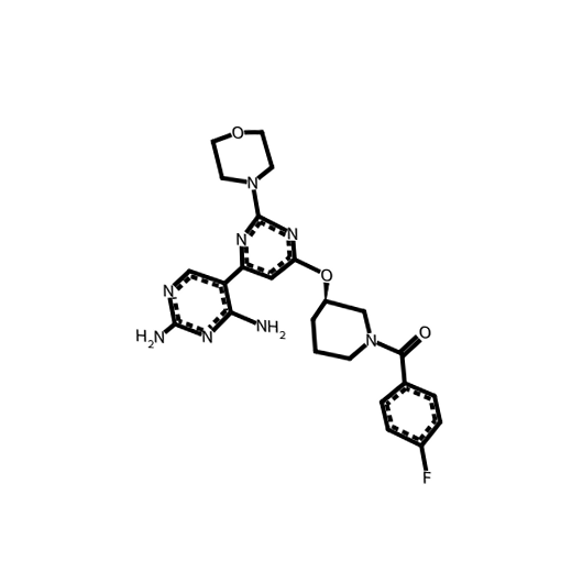 Nc1ncc(-c2cc(O[C@@H]3CCCN(C(=O)c4ccc(F)cc4)C3)nc(N3CCOCC3)n2)c(N)n1